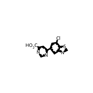 O=C(O)c1cc(-c2cc(Cl)c3scnc3c2)ncn1